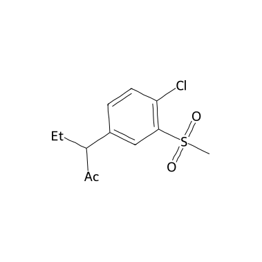 CCC(C(C)=O)c1ccc(Cl)c(S(C)(=O)=O)c1